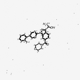 CC(O)c1nn(-c2ncc(-c3ccccc3F)cn2)c2cc(C(=O)N3CCOCC3)ccc12